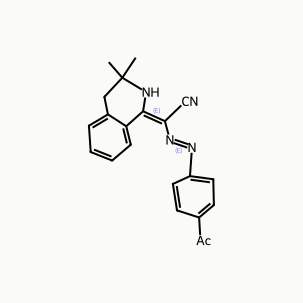 CC(=O)c1ccc(/N=N/C(C#N)=C2/NC(C)(C)Cc3ccccc32)cc1